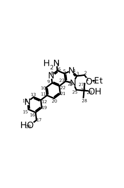 CCOCc1nc2c(N)nc3cc(-c4cncc(CO)c4)ccc3c2n1CC(C)(C)O